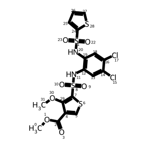 COC(=O)c1csc(S(=O)(=O)Nc2cc(Cl)c(Cl)cc2NS(=O)(=O)c2cccs2)c1OC